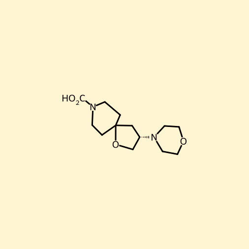 O=C(O)N1CCC2(CC1)C[C@H](N1CCOCC1)CO2